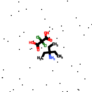 CCC(N)(CC)CC.O=C(O)C(Cl)(Cl)C(=O)O